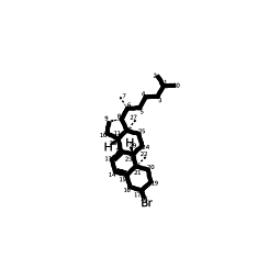 CC(C)CCC[C@@H](C)[C@H]1CC[C@H]2C3=CC=C4CC(Br)CC[C@]4(C)[C@H]3CC[C@]12C